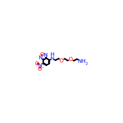 NCCOCCOCCNc1ccc([N+](=O)[O-])c2nonc12